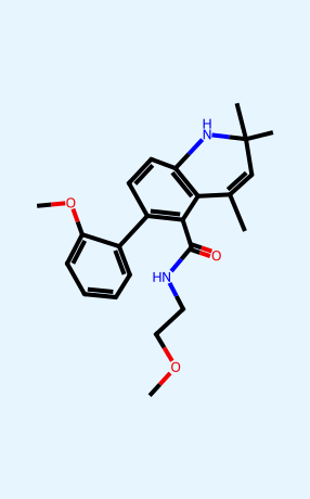 COCCNC(=O)c1c(-c2ccccc2OC)ccc2c1C(C)=CC(C)(C)N2